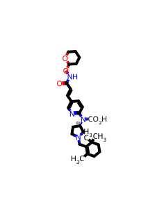 CC1=C(CN2CC[C@@H](N(C(=O)O)c3ccc(C=CC(=O)NOC4CCCCO4)cn3)C2)C(C)(C)CCC1